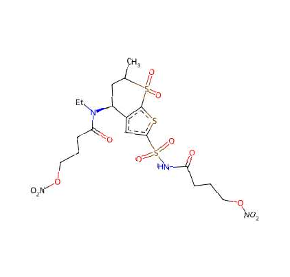 CCN(C(=O)CCCO[N+](=O)[O-])[C@H]1CC(C)S(=O)(=O)c2sc(S(=O)(=O)NC(=O)CCCO[N+](=O)[O-])cc21